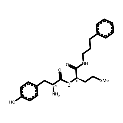 CSCC[C@@H](NC(=O)[C@@H](N)Cc1ccc(O)cc1)C(=O)NCCCc1ccccc1